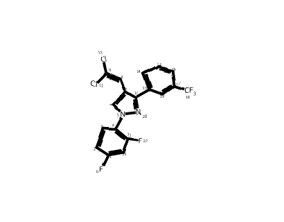 Fc1ccc(-n2cc(C=C(Cl)Cl)c(-c3cccc(C(F)(F)F)c3)n2)c(F)c1